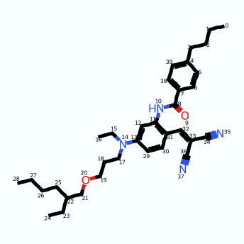 CCCCc1ccc(C(=O)Nc2cc(N(CC)CCCOCC(CC)CCCC)ccc2C=C(C#N)C#N)cc1